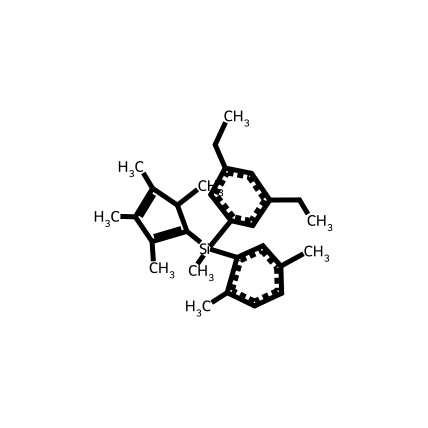 CCc1cc(CC)cc([Si](C)(C2=C(C)C(C)=C(C)C2C)c2cc(C)ccc2C)c1